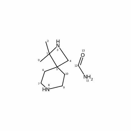 CC1(C)NCC12CCNCC2.NC=O